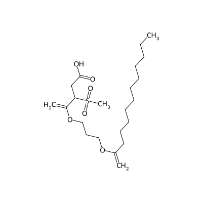 C=C(CCCCCCCCCCC)OCCCOC(=C)C(CC(=O)O)S(C)(=O)=O